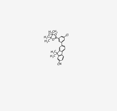 CC1(C)c2cc(C#N)ccc2-c2ccc(-c3cc(Cl)cc(B4OC(C)(C)C(C)(C)O4)c3)cc21